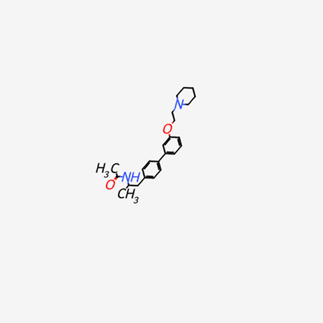 CC(=O)NC(C)Cc1ccc(-c2cccc(OCCN3CCCCC3)c2)cc1